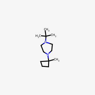 CC(C)(C)N1CCN(C2(C)CCC2)CC1